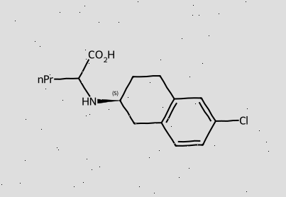 CCCC(N[C@H]1CCc2cc(Cl)ccc2C1)C(=O)O